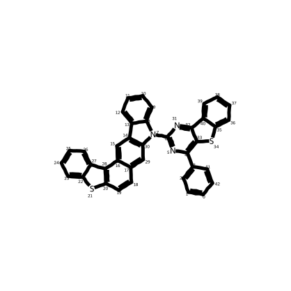 c1ccc(-c2nc(-n3c4ccccc4c4cc5c(ccc6sc7ccccc7c65)cc43)nc3c2sc2ccccc23)cc1